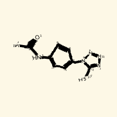 CCCC(=O)Nc1ccc(-n2nnnc2S)cc1